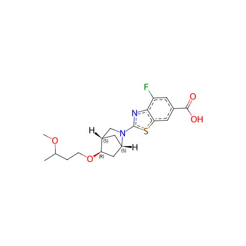 COC(C)CCO[C@@H]1C[C@@H]2C[C@H]1CN2c1nc2c(F)cc(C(=O)O)cc2s1